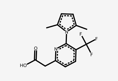 Cc1ccc(C)n1-c1nc(CC(=O)O)ccc1C(F)(F)F